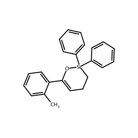 Cc1ccccc1C1=CCC[Si](c2ccccc2)(c2ccccc2)O1